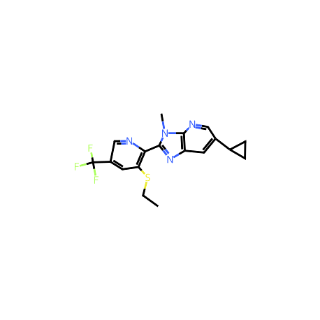 CCSc1cc(C(F)(F)F)cnc1-c1nc2cc(C3CC3)cnc2n1C